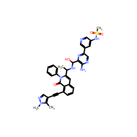 Cc1c(C#Cc2cccc3cc(C(C)NC(O)c4nc(-c5cncc(NS(C)(=O)=O)c5)cnc4N)n(-c4ccccc4)c(=O)c23)cnn1C